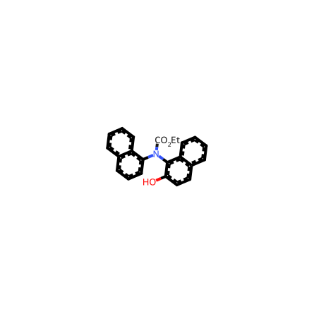 CCOC(=O)N(c1cccc2ccccc12)c1c(O)ccc2ccccc12